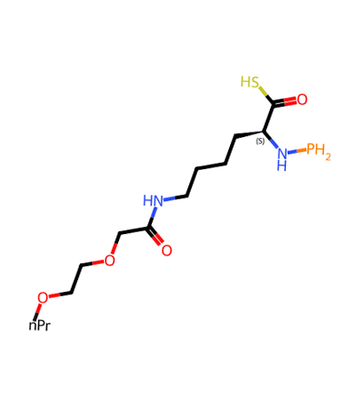 CCCOCCOCC(=O)NCCCC[C@H](NP)C(=O)S